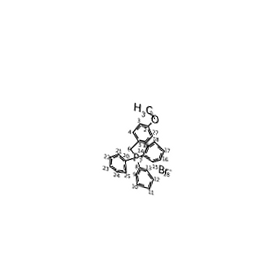 COc1ccc(C[P+](c2ccccc2)(c2ccccc2)c2ccccc2)cc1.[Br-]